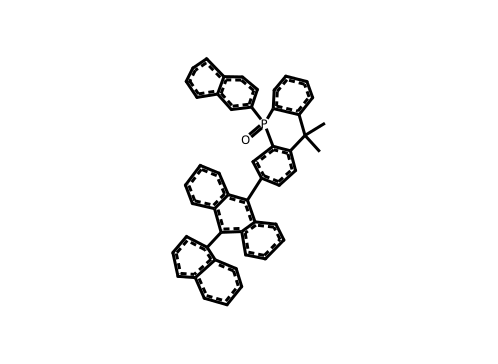 CC1(C)c2ccccc2P(=O)(c2ccc3ccccc3c2)c2cc(-c3c4ccccc4c(-c4cccc5ccccc45)c4ccccc34)ccc21